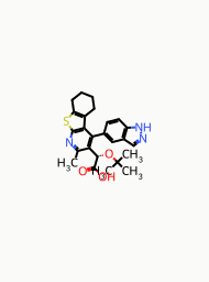 Cc1nc2sc3c(c2c(-c2ccc4[nH]ncc4c2)c1[C@H](OC(C)(C)C)C(=O)O)CCCC3